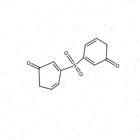 O=C1C=C(S(=O)(=O)C2=CC(=O)CC=C2)C=CC1